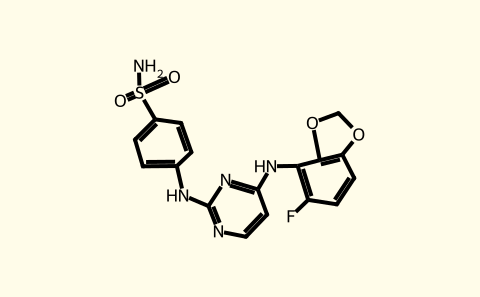 NS(=O)(=O)c1ccc(Nc2nccc(Nc3c(F)ccc4c3OCO4)n2)cc1